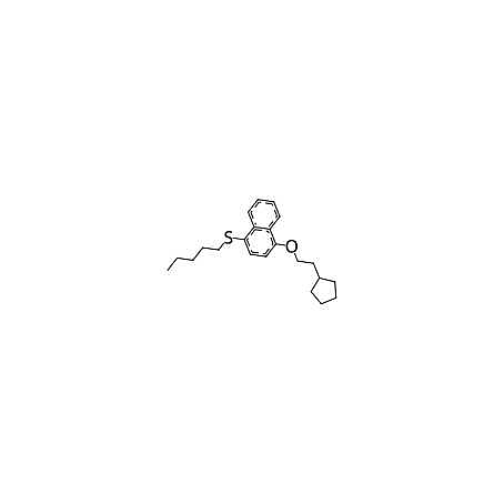 CCCCCSc1ccc(OCCC2CCCC2)c2ccccc12